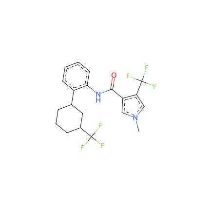 Cn1cc(C(=O)Nc2ccccc2C2CCCC(C(F)(F)F)C2)c(C(F)(F)F)c1